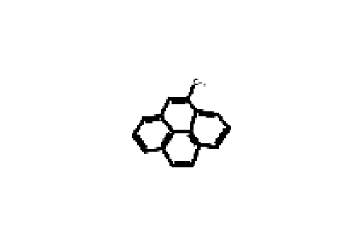 Cc1[c]c2cccc3ccc4cccc1c4c23